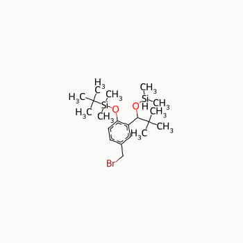 C[SiH](C)OC(c1cc(CBr)ccc1O[Si](C)(C)C(C)(C)C)C(C)(C)C